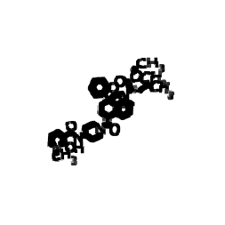 CCOC(=O)[C@H](CC(C)C)NC(=O)[C@@]1(c2ccccc2)CC[C@H](C(=O)N2CCC(NC(=O)c3cccn(C)c3=O)CC2)c2ccccc21